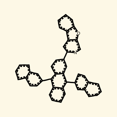 c1ccc2cc(-c3c4ccccc4c(-c4ccc5ccccc5c4)c4cc(-c5cc6c(cn5)oc5ccccc56)ccc34)ccc2c1